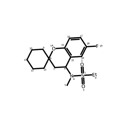 CCS(=O)(=O)N(C)C1CC2(CCCCC2)Oc2ccc(F)cc21